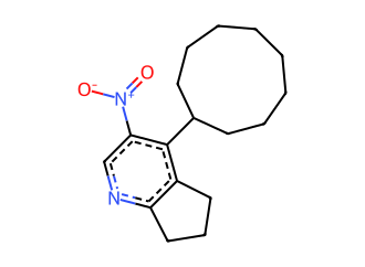 O=[N+]([O-])c1cnc2c(c1C1CCCCCCCC1)CCC2